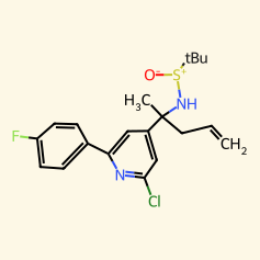 C=CCC(C)(N[S+]([O-])C(C)(C)C)c1cc(Cl)nc(-c2ccc(F)cc2)c1